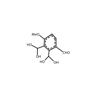 COc1ccc(C=O)c(C(O)O)c1C(O)O